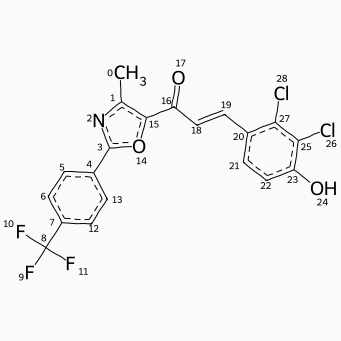 Cc1nc(-c2ccc(C(F)(F)F)cc2)oc1C(=O)C=Cc1ccc(O)c(Cl)c1Cl